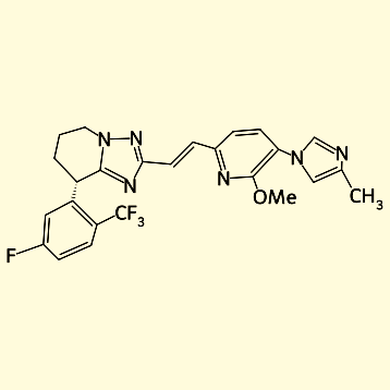 COc1nc(/C=C/c2nc3n(n2)CCC[C@H]3c2cc(F)ccc2C(F)(F)F)ccc1-n1cnc(C)c1